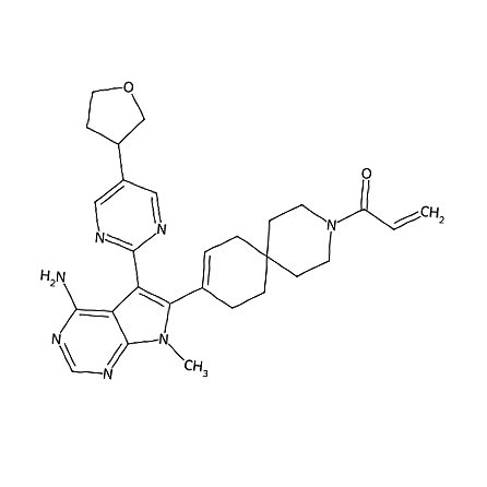 C=CC(=O)N1CCC2(CC=C(c3c(-c4ncc(C5CCOC5)cn4)c4c(N)ncnc4n3C)CC2)CC1